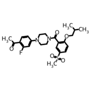 CC(=O)c1ccc(N2CCN(C(=O)c3cc(S(C)(=O)=O)ccc3OCC(C)C)CC2)cc1F